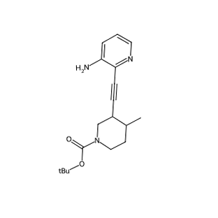 CC1CCN(C(=O)OC(C)(C)C)CC1C#Cc1ncccc1N